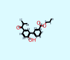 CCCOC(=O)c1cccc(-c2cc(C(=O)C(C)C)ccc2O)c1